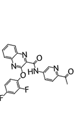 CC(=O)c1ccc(NC(=O)c2nc3ccccc3nc2Oc2ccc(F)cc2F)cn1